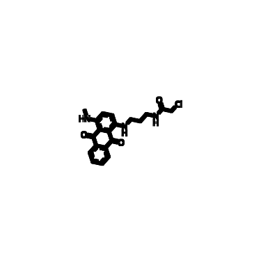 CNc1ccc(NCCCNC(=O)CCl)c2c1C(=O)c1ccccc1C2=O